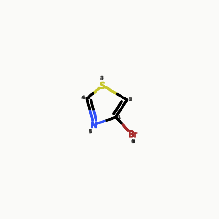 Brc1cs[c]n1